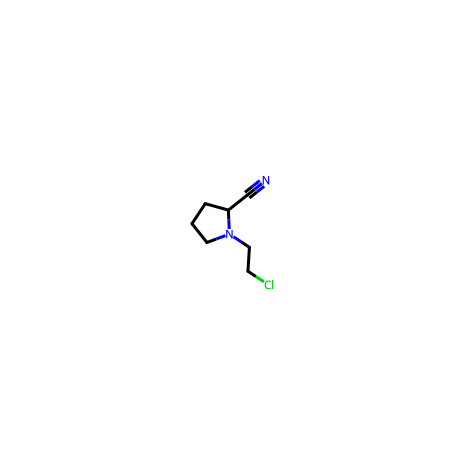 N#CC1CCCN1CCCl